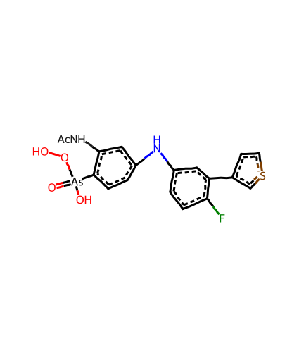 CC(=O)Nc1cc(Nc2ccc(F)c(-c3ccsc3)c2)ccc1[As](=O)(O)OO